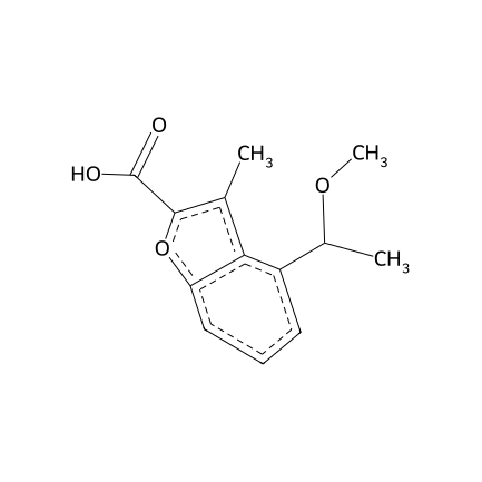 COC(C)c1cccc2oc(C(=O)O)c(C)c12